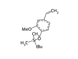 C=Cc1ccc(O[Si](C)(C)C(C)(C)C)c(OC)c1